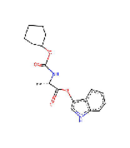 C[C@H](NC(=O)OC1CCCCC1)C(=O)Oc1c[nH]c2ccccc12